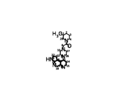 CC1CCCN(C(=O)CN2CCN(c3ccnc4cnc5[nH]ccc5c34)CC2)C1